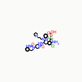 Nc1c(Cl)cc(CC(NC(=O)N2CCC(N3CCc4ccccc4NC3=O)CC2)c2nc3cc(OC(=O)O)ccc3n2CCCN2CCCC2)cc1C(F)(F)F